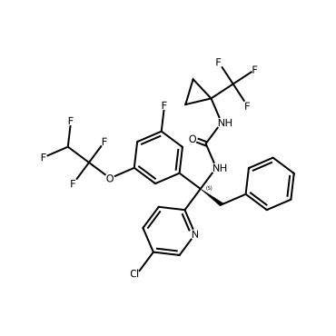 O=C(NC1(C(F)(F)F)CC1)N[C@@](Cc1ccccc1)(c1cc(F)cc(OC(F)(F)C(F)F)c1)c1ccc(Cl)cn1